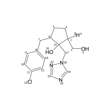 [3H]C1(CO)CCC(Cc2ccc(Cl)cc2)C1(O)Cn1cncn1